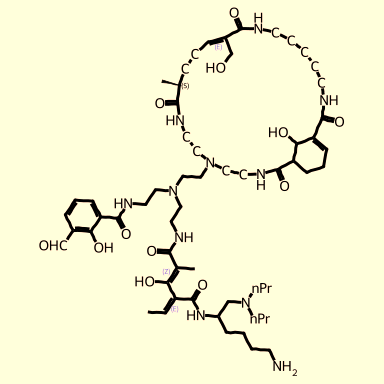 C/C=C(C(=O)NC(CCCCN)CN(CCC)CCC)\C(O)=C(/C)C(=O)NCCN(CCNC(=O)c1cccc(C=O)c1O)CCN1CCNC(=O)C2CCC=C(C(=O)NCCCCCNC(=O)/C(CO)=C/CC[C@H](C)C(=O)NCC1)C2O